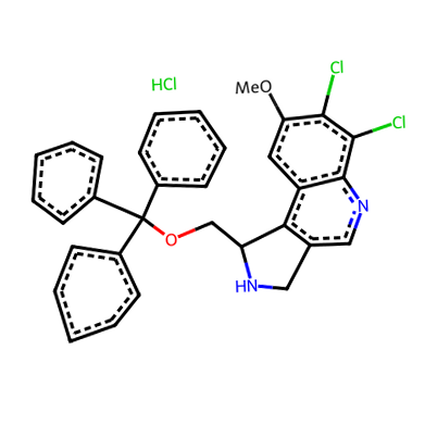 COc1cc2c3c(cnc2c(Cl)c1Cl)CNC3COC(c1ccccc1)(c1ccccc1)c1ccccc1.Cl